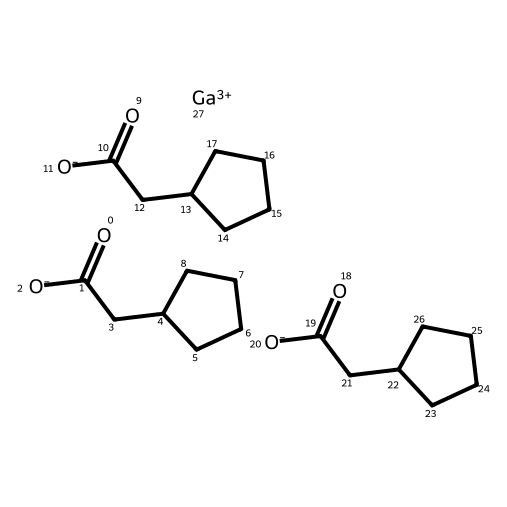 O=C([O-])CC1CCCC1.O=C([O-])CC1CCCC1.O=C([O-])CC1CCCC1.[Ga+3]